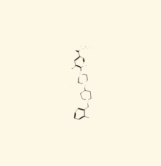 CC[C@H]1CN(c2ncc(C(=O)NC)cc2Cl)CCN1C1CCN(Cc2ccccc2F)CC1